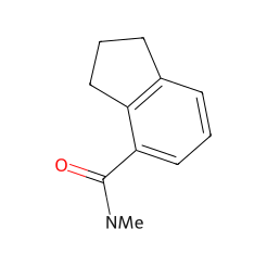 CNC(=O)c1cccc2c1CCC2